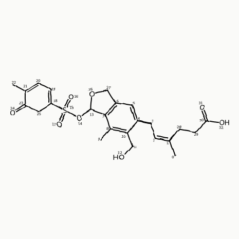 CC(=CCc1cc2c(c(C)c1CO)C(OS(=O)(=O)C1=CC=C(C)C(=O)C1)OC2)CCC(=O)O